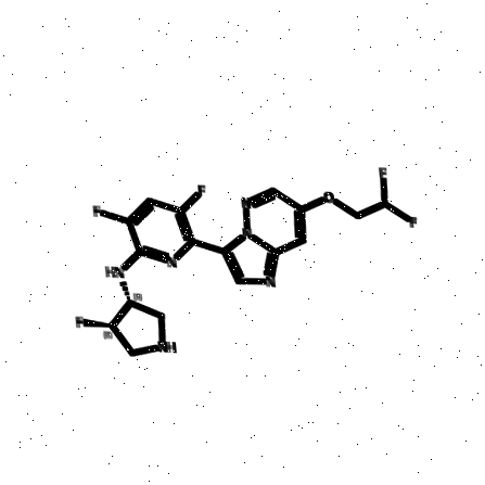 Fc1cc(F)c(-c2cnc3cc(OCC(F)F)cnn23)nc1N[C@@H]1CNC[C@H]1F